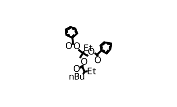 CCCCC(CC)C(=O)OCC(CC)(COC(=O)c1ccccc1)COC(=O)c1ccccc1